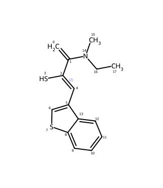 C=C(/C(S)=C/c1csc2ccccc12)N(C)CC